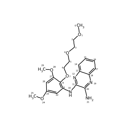 COCCOCCOc1c(Nc2nc3ccccc3nc2N)cc(OC)cc1OC